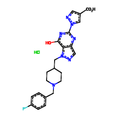 Cl.O=C(O)c1cnn(-c2nc(O)c3c(cnn3CC3CCN(Cc4ccc(F)cc4)CC3)n2)c1